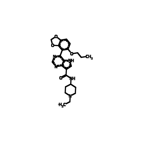 [CH2]CN1CCC(NC(=O)c2c[nH]c3c(-c4c(OCCC)ccc5c4OCO5)ncnc23)CC1